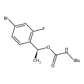 C[C@H](OC(=O)NC(C)(C)C)c1ccc(Br)cc1F